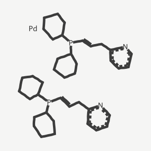 C(=CP(C1CCCCC1)C1CCCCC1)Cc1ccccn1.C(=CP(C1CCCCC1)C1CCCCC1)Cc1ccccn1.[Pd]